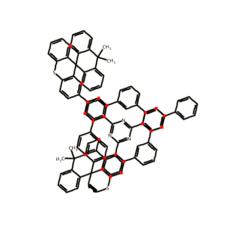 CC1(C)c2ccccc2C2(c3ccccc3Sc3cc(-c4cccc(-c5nc(-c6ccccc6)nc(-c6cccc(-c7cccc(-c8cccc(-c9ccccc9-c9nc(-c%10ccccc%10)nc(-c%10ccc(-c%11ccc%12c(c%11)C%11(c%13ccccc%13S%12)c%12ccccc%12C(C)(C)c%12ccccc%12%11)cc%10)n9)c8)n7)c6)n5)c4)ccc32)c2ccccc21